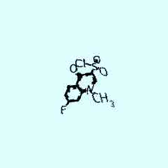 Cn1cc(S(=O)(=O)Cl)c(=O)c2ccc(F)cc21